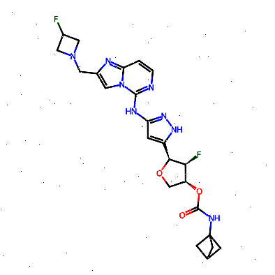 O=C(NC12CC(C1)C2)O[C@H]1CO[C@@H](c2cc(Nc3nccc4nc(CN5CC(F)C5)cn34)n[nH]2)[C@H]1F